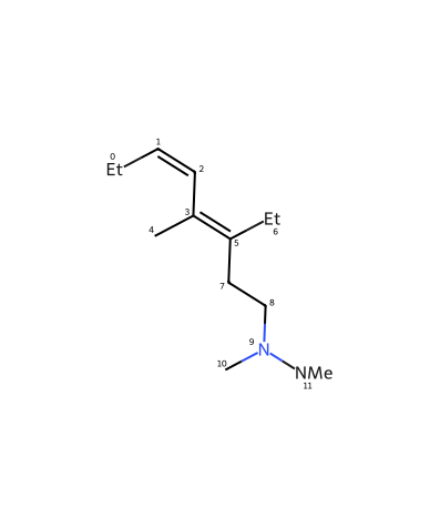 CC/C=C\C(C)=C(/CC)CCN(C)NC